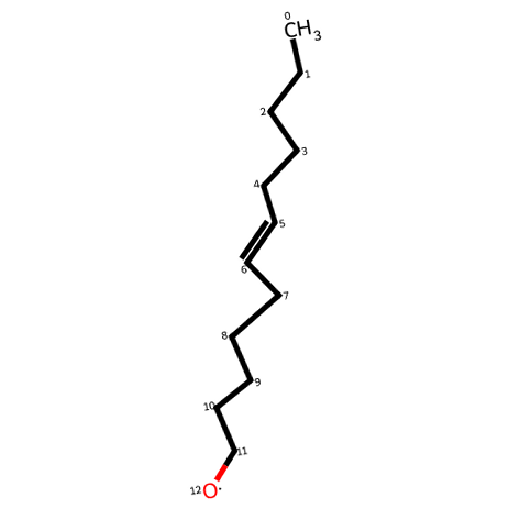 CCCCCC=CCCCCC[O]